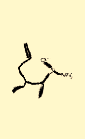 C=CCC(C)C(C)[S+](N)[O-]